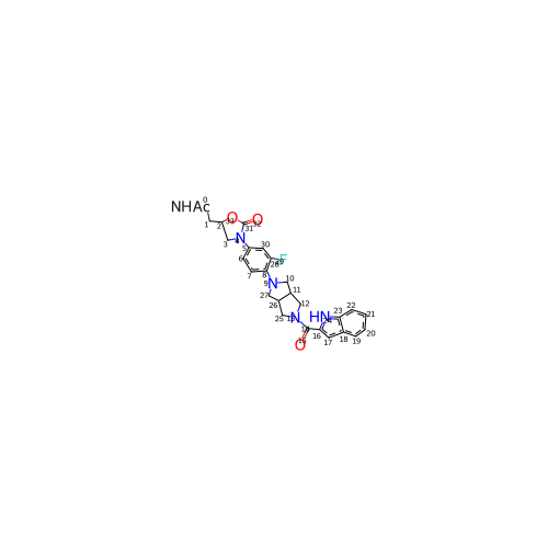 CC(=O)NCC1CN(c2ccc(N3CC4CN(C(=O)c5cc6ccccc6[nH]5)CC4C3)c(F)c2)C(=O)O1